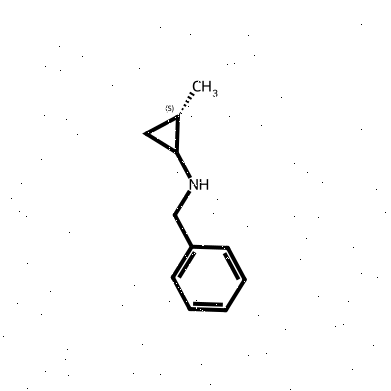 C[C@H]1CC1NCc1ccccc1